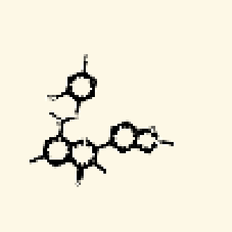 Cc1cc([C@@H](C)Oc2ccc(F)cc2C#N)c2oc(-c3ccc4nn(C)cc4c3)c(C)c(=O)c2c1